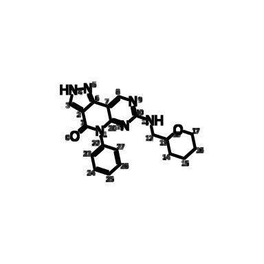 O=c1c2c[nH]nc2c2cnc(NCC3CCCCO3)nc2n1-c1ccccc1